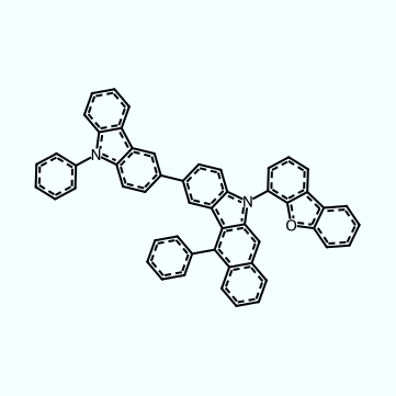 c1ccc(-c2c3ccccc3cc3c2c2cc(-c4ccc5c(c4)c4ccccc4n5-c4ccccc4)ccc2n3-c2cccc3c2oc2ccccc23)cc1